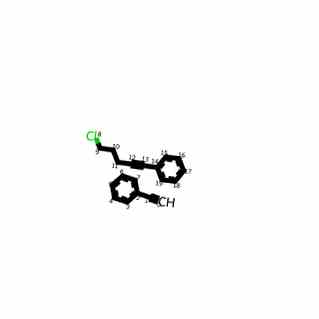 C#Cc1ccccc1.ClCCCC#Cc1ccccc1